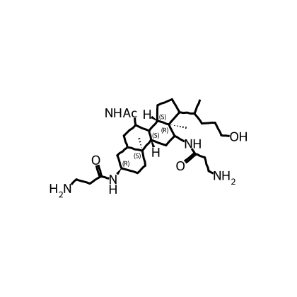 CC(=O)NC1CC2C[C@H](NC(=O)CCN)CC[C@]2(C)[C@H]2CC(NC(=O)CCN)[C@]3(C)C(C(C)CCCO)CC[C@H]3C12